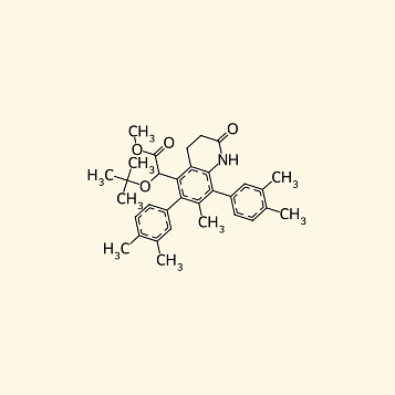 COC(=O)C(OC(C)(C)C)c1c2c(c(-c3ccc(C)c(C)c3)c(C)c1-c1ccc(C)c(C)c1)NC(=O)CC2